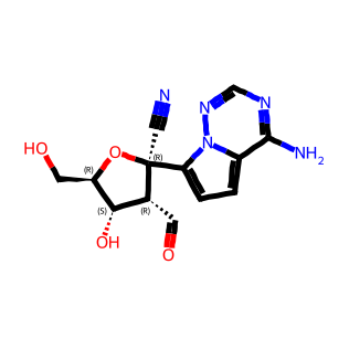 N#C[C@@]1(c2ccc3c(N)ncnn23)O[C@H](CO)[C@@H](O)[C@H]1C=O